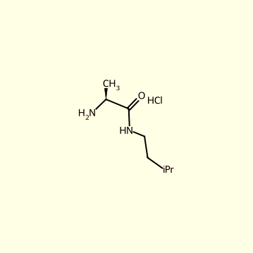 CC(C)CCNC(=O)[C@H](C)N.Cl